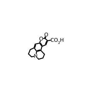 O=C(O)c1cc2c3c4c(cc2oc1=O)CCCN4CCC3